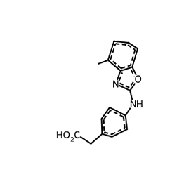 Cc1cccc2oc(Nc3ccc(CC(=O)O)cc3)nc12